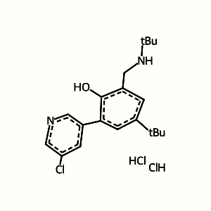 CC(C)(C)NCc1cc(C(C)(C)C)cc(-c2cncc(Cl)c2)c1O.Cl.Cl